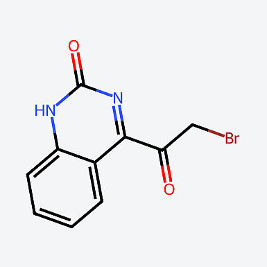 O=C(CBr)c1nc(=O)[nH]c2ccccc12